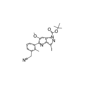 COc1cc2c(nc1-c1cccc(CC#N)c1C)c(I)nn2C(=O)OC(C)(C)C